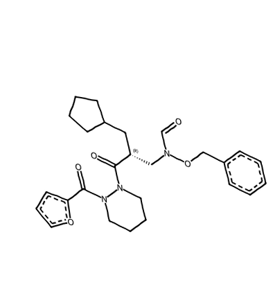 O=CN(C[C@@H](CC1CCCC1)C(=O)N1CCCCN1C(=O)c1ccco1)OCc1ccccc1